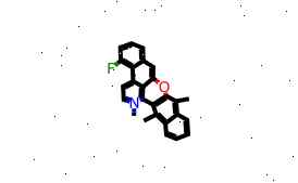 Cc1c2c(c(C)c3ccccc13)-c1c3c(cc4cccc(F)c4c3cc[n+]1C)O2